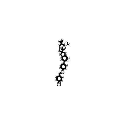 COC(=O)C1(CN2CC3(Cc4ccc(-c5ccc(OCc6ccc(Cl)cc6)cc5)cc4C3)C2)CC1